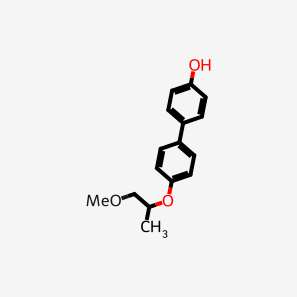 COCC(C)Oc1ccc(-c2ccc(O)cc2)cc1